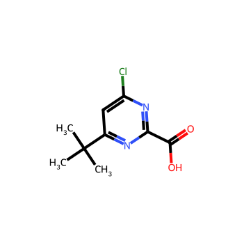 CC(C)(C)c1cc(Cl)nc(C(=O)O)n1